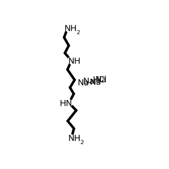 Cl.NCCCNCCCCNCCCN.[Na].[Na].[Na].[Na]